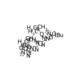 CC(C)(C)OC(=O)N1CCC[C@H]1c1ncc(-c2cnc(-c3cnc(-c4cnc([C@@H]5CCCN5C(=O)OC(C)(C)C)n4COCCS(C)(C)C)cn3)cn2)n1COCCS(C)(C)C